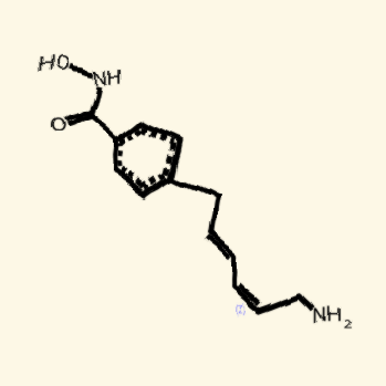 NC/C=C\C=CCc1ccc(C(=O)NO)cc1